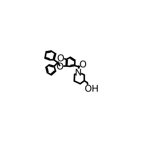 O=C(c1ccc2c(c1)OC(c1ccccc1)(c1ccccc1)O2)N1CCCC(CO)C1